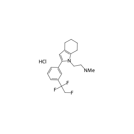 CNCCn1c(-c2cccc(C(F)(F)CF)c2)cc2c1CCCC2.Cl